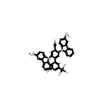 Cc1cc(-c2cc(-n3c4ccccc4c4cc(C)ccc43)c(C#N)cc2-n2c3ccccc3c3cc(C)ccc32)cc(C(F)(F)F)c1